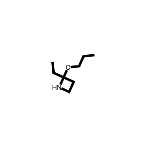 CCCOC1(CC)CCN1